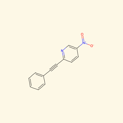 O=[N+]([O-])c1ccc(C#Cc2ccccc2)nc1